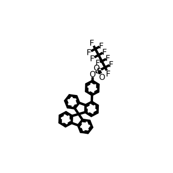 O=S(=O)(Oc1ccc(-c2cccc3c2-c2ccccc2C32c3ccccc3-c3ccccc32)cc1)C(F)(F)C(F)(F)C(F)(F)C(F)(F)F